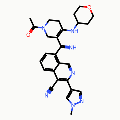 CC(=O)N1CCC(NC2CCOCC2)=C(C(=N)c2cccc3c(C#N)c(-c4cnn(C)c4)ncc23)C1